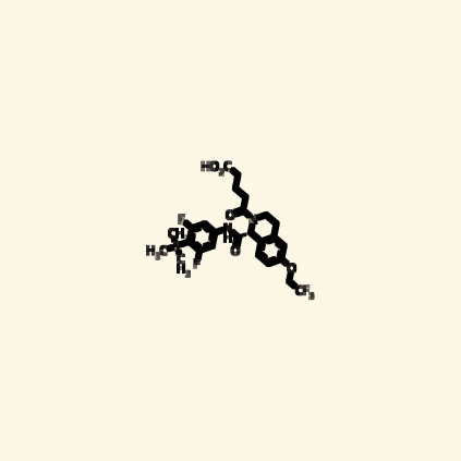 CS(C)(C)c1c(F)cc(NC(=O)[C@H]2c3ccc(OCC(F)(F)F)cc3CCN2C(=O)CCCC(=O)O)cc1F